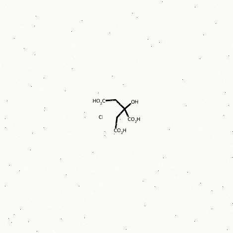 O=C(O)CC(O)(CC(=O)O)C(=O)O.[C]